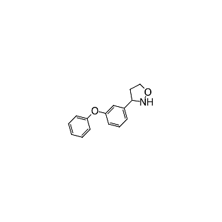 c1ccc(Oc2cccc(C3CCON3)c2)cc1